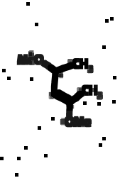 COC(C)=CC(C)OC